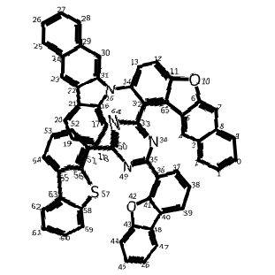 c1ccc2cc3c(cc2c1)oc1ccc(-n2c4ccccc4c4cc5ccccc5cc42)c(-c2nc(-c4cccc5c4oc4ccccc45)nc(-c4cccc5c4sc4ccccc45)n2)c13